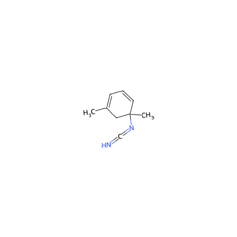 CC1=CC=CC(C)(N=C=N)C1